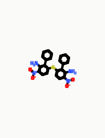 Nc1c([N+](=O)[O-])ccc(Sc2ccc([N+](=O)[O-])c(N)c2-c2ccccc2)c1-c1ccccc1